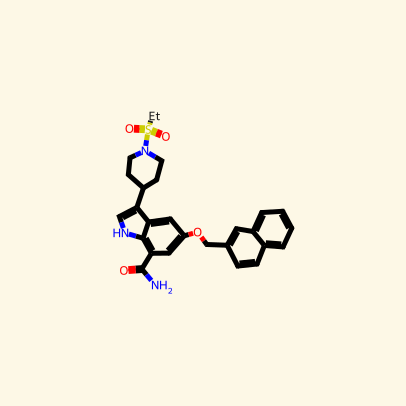 CCS(=O)(=O)N1CCC(c2c[nH]c3c(C(N)=O)cc(OCc4ccc5ccccc5c4)cc23)CC1